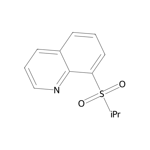 CC(C)S(=O)(=O)c1cccc2cccnc12